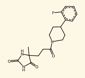 CC1(CCC(=O)N2CCC(c3ccccc3F)CC2)NC(=O)NC1=O